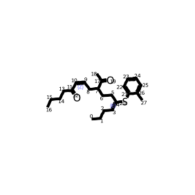 CCC/C=C(\CCC(C/C=C\C(=O)CCCC)C(C)=O)Sc1ccccc1C